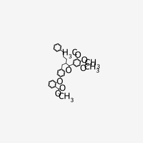 COC(=O)c1ccccc1Oc1ccc(CC(CCCc2ccccc2)C(=O)c2cc(OC)c(OC)c(OC)c2)cc1